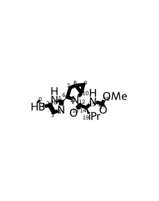 CBc1cnc([C@@H]2CC3CC3N2C(=O)[C@@H](NC(=O)OC)C(C)C)[nH]1